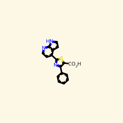 O=C(O)c1sc(-c2ccnc3[nH]ccc23)nc1-c1ccccc1